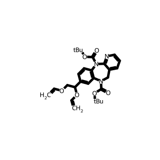 C=COCC(OC=C)c1ccc2c(c1)N(C(=O)OC(C)(C)C)Cc1cccnc1N2C(=O)OC(C)(C)C